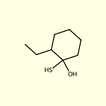 CCC1CCCCC1(O)S